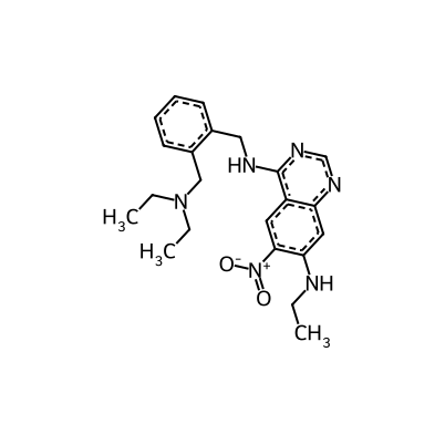 CCNc1cc2ncnc(NCc3ccccc3CN(CC)CC)c2cc1[N+](=O)[O-]